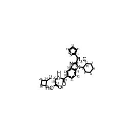 C[C@@H]1CCCCC1n1c(Cc2cccs2)nc2cc(C(=O)N[C@@H](CC3CCC3)C(=O)O)ccc21